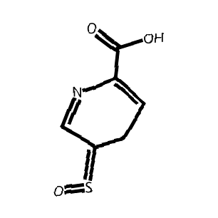 O=S=C1C=NC(C(=O)O)=CC1